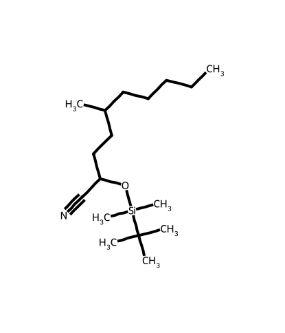 CCCCCC(C)CCC(C#N)O[Si](C)(C)C(C)(C)C